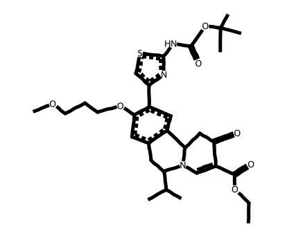 CCOC(=O)C1=CN2C(CC1=O)c1cc(-c3csc(NC(=O)OC(C)(C)C)n3)c(OCCCOC)cc1CC2C(C)C